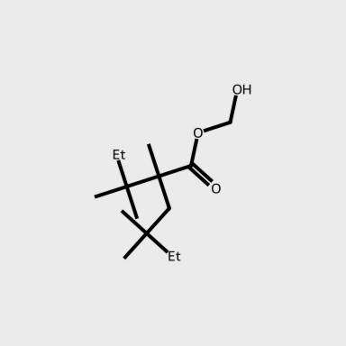 CCC(C)(C)CC(C)(C(=O)OCO)C(C)(C)CC